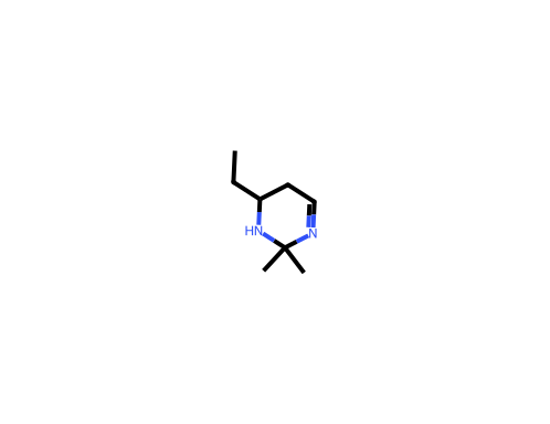 CCC1CC=NC(C)(C)N1